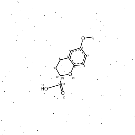 COc1ccc2c(c1)CC[C@@H](C(=O)O)O2